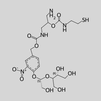 NCC(CNC(=O)OCc1ccc(O[C@@H](CO)OC(CO)[C@H](O)CO)c([N+](=O)[O-])c1)OC(=O)NCCS